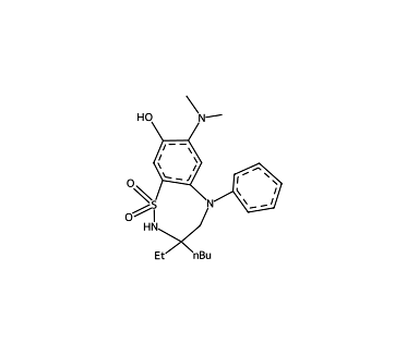 CCCCC1(CC)CN(c2ccccc2)c2cc(N(C)C)c(O)cc2S(=O)(=O)N1